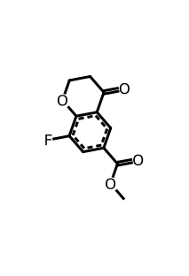 COC(=O)c1cc(F)c2c(c1)C(=O)CCO2